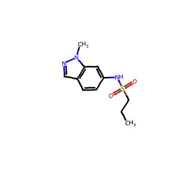 CCCS(=O)(=O)Nc1ccc2cnn(C)c2c1